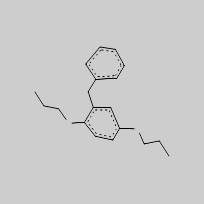 CCCOc1ccc(OCCC)c([CH]c2ccccc2)c1